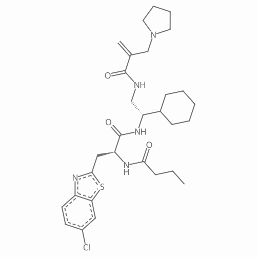 C=C(CN1CCCC1)C(=O)NC[C@@H](NC(=O)[C@H](Cc1nc2ccc(Cl)cc2s1)NC(=O)CCC)C1CCCCC1